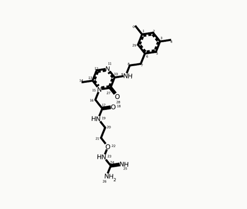 Cc1cc(C)cc(CCNc2ncc(C)n(CC(=O)NCCONC(=N)N)c2=O)c1